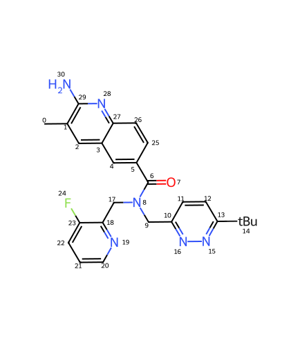 Cc1cc2cc(C(=O)N(Cc3ccc(C(C)(C)C)nn3)Cc3ncccc3F)ccc2nc1N